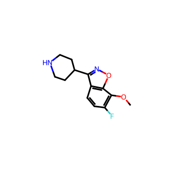 COc1c(F)ccc2c(C3CCNCC3)noc12